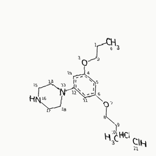 CCCOc1cc(OCCC)cc(N2CCNCC2)c1.Cl.Cl